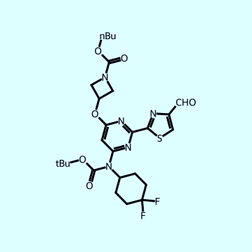 CCCCOC(=O)N1CC(Oc2cc(N(C(=O)OC(C)(C)C)C3CCC(F)(F)CC3)nc(-c3nc(C=O)cs3)n2)C1